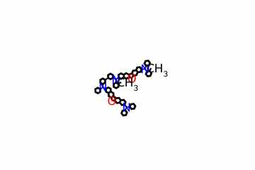 Cc1ccccc1N(c1ccccc1)c1ccc2cc3c(cc2c1)oc1cc2cc(N(c4cccc(-c5cccc(N(c6ccccc6)c6ccc7cc8c(cc7c6)oc6cc7cc(N(c9ccccc9)c9ccccc9)ccc7cc68)c5)c4)c4ccccc4C)ccc2cc13